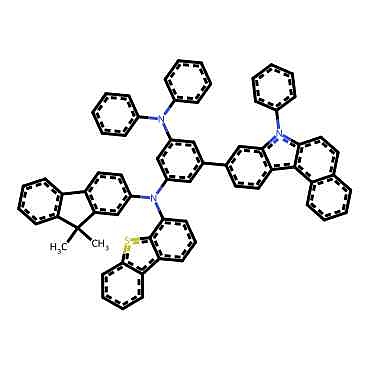 CC1(C)c2ccccc2-c2ccc(N(c3cc(-c4ccc5c6c7ccccc7ccc6n(-c6ccccc6)c5c4)cc(N(c4ccccc4)c4ccccc4)c3)c3cccc4c3sc3ccccc34)cc21